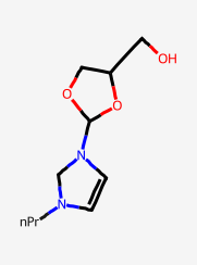 CCCN1C=CN(C2OCC(CO)O2)C1